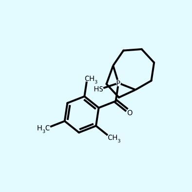 Cc1cc(C)c(C(=O)[P]2(S)C3CCCCC2CC3)c(C)c1